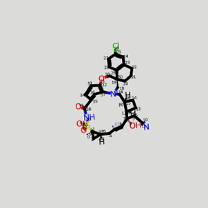 C[C@@]12C[C@H]1C/C=C/[C@](O)(CC#N)[C@@H]1CC[C@H]1CN1C[C@@]3(CCCc4cc(Cl)ccc43)COc3ccc(cc31)C(=O)NS2(=O)=O